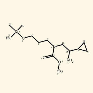 CC(C)(C)OC(=O)N(CCCO[Si](C)(C)C(C)(C)C)CC(N)C1CC1